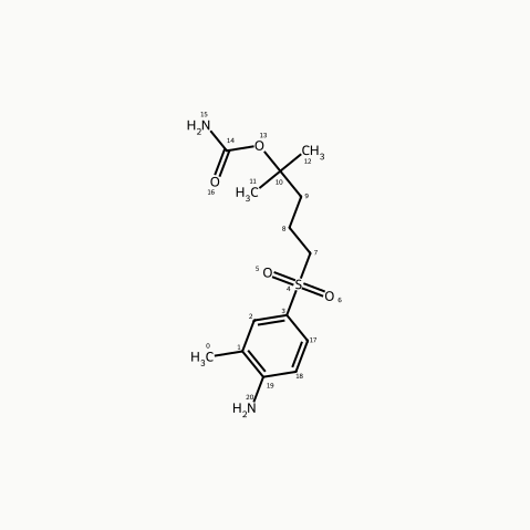 Cc1cc(S(=O)(=O)CCCC(C)(C)OC(N)=O)ccc1N